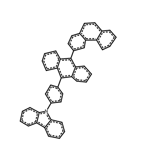 c1ccc2c(c1)ccc1ccc(-c3c4ccccc4c(-c4ccc(-n5c6ccccc6c6ccccc65)cc4)c4ccccc34)cc12